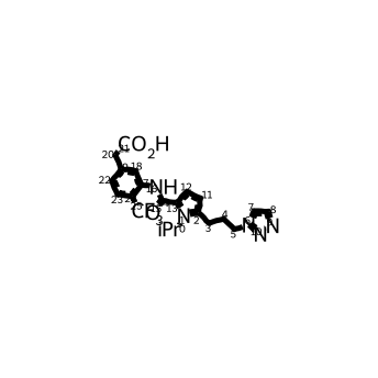 CC(C)n1c(CCCn2ccnn2)ccc1C(=O)Nc1cc(CC(=O)O)ccc1C(F)(F)F